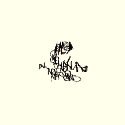 CCN/C(=N/CCCN(C)C)ON=C1c2ccc(S(=O)(=O)N3CCCCCCC3)cc2C(=NO/C(=N\CCCN(C)C)NCC)c2cc(S(=O)(=O)N3CCCCCCC3)ccc21.Cl.Cl.Cl.Cl